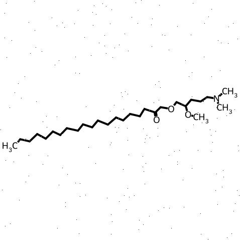 CCCCCCCCCCCCCCCCCCC(=O)COCC(C[CH]CN(C)C)OC